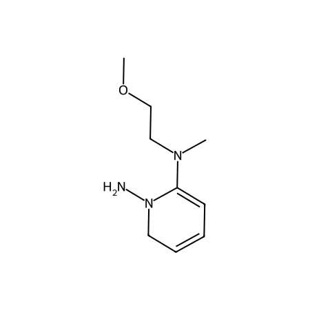 COCCN(C)C1=CC=CCN1N